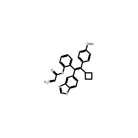 C=CC(=O)Oc1ccccc1/C(=C(\c1ccc(OC)cc1)C1CCC1)c1ccc2scnc2c1